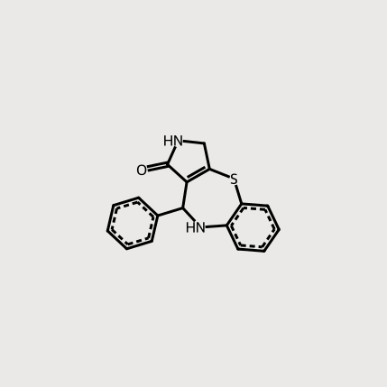 O=C1NCC2=C1C(c1ccccc1)Nc1ccccc1S2